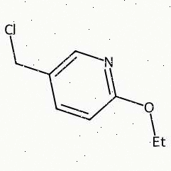 CCOc1ccc(CCl)cn1